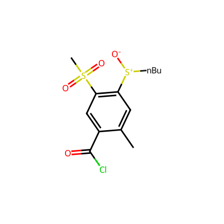 CCCC[S+]([O-])c1cc(C)c(C(=O)Cl)cc1S(C)(=O)=O